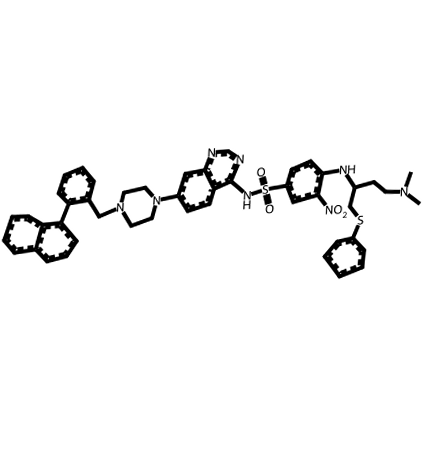 CN(C)CCC(CSc1ccccc1)Nc1ccc(S(=O)(=O)Nc2ncnc3cc(N4CCN(Cc5ccccc5-c5cccc6ccccc56)CC4)ccc23)cc1[N+](=O)[O-]